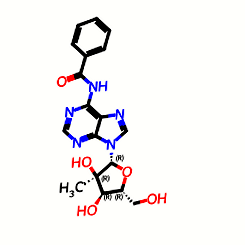 C[C@@]1(O)[C@H](O)[C@@H](CO)O[C@H]1n1cnc2c(NC(=O)c3ccccc3)ncnc21